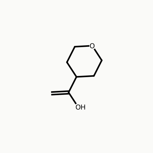 C=C(O)C1CCOCC1